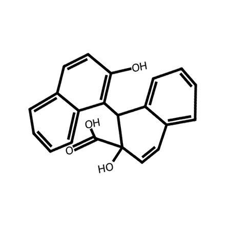 O=C(O)C1(O)C=Cc2ccccc2C1c1c(O)ccc2ccccc12